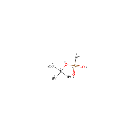 CCCCCCCC[Si](OS(=O)(=O)CCC)(C(C)C)C(C)C